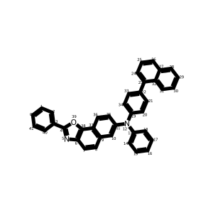 c1ccc(-c2nc3ccc4cc(N(c5ccccc5)c5ccc(-c6cccc7ccccc67)cc5)ccc4c3o2)cc1